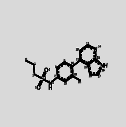 CCCS(=O)(=O)Nc1ccc(-c2ccnc3[nH]ccc23)c(C)c1